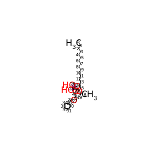 CCCCCCCCCCCCCCCCOC(C)C[C@@H](COP(=O)(O)O)OCc1ccccc1